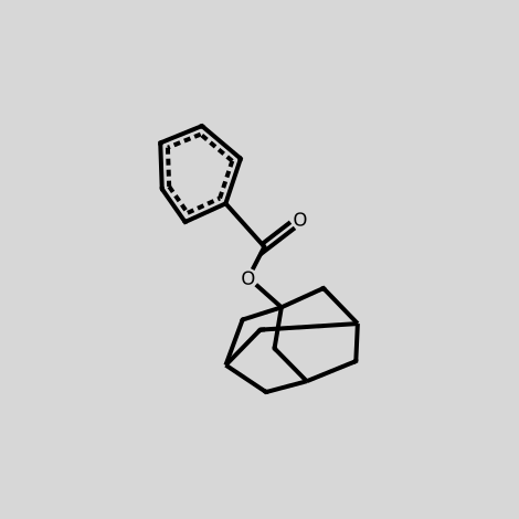 O=C(OC12CC3CC(CC(C3)C1)C2)c1ccccc1